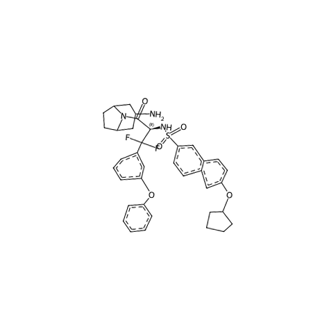 NC1CC2CCC(C1)N2C(=O)[C@@H](NS(=O)(=O)c1ccc2cc(OC3CCCC3)ccc2c1)C(F)(F)c1cccc(Oc2ccccc2)c1